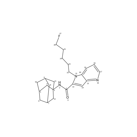 O=C(NC12CC3CC(CC(C3)C1)C2)c1cc2ncccc2n1CCCCCF